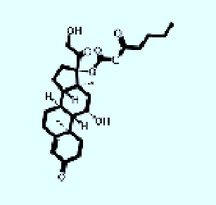 CCCCC(=O)OC(=O)O[C@]1(C(=O)CO)CC[C@H]2[C@@H]3CCC4=CC(=O)CC[C@]4(C)[C@H]3[C@@H](O)C[C@@]21C